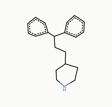 c1ccc(C(CCC2CCNCC2)c2ccccc2)cc1